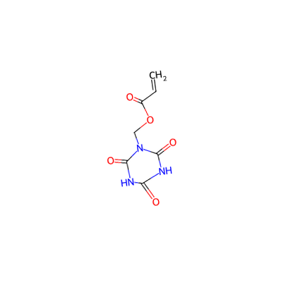 C=CC(=O)OCn1c(=O)[nH]c(=O)[nH]c1=O